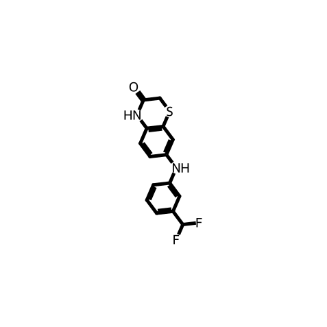 O=C1CSc2cc(Nc3cccc(C(F)F)c3)ccc2N1